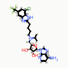 CC(C)N(CCCCc1nc2cc(C(F)(F)F)cc(Cl)c2[nH]1)C[C@H]1O[C@@H](n2cnc3c(N)ccnc32)[C@H](O)[C@@H]1O